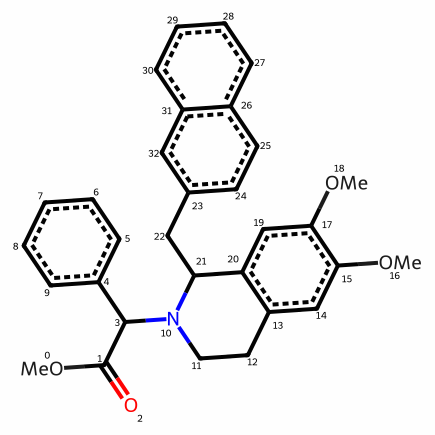 COC(=O)C(c1ccccc1)N1CCc2cc(OC)c(OC)cc2C1Cc1ccc2ccccc2c1